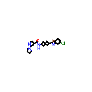 O=C(NC1CC2(C1)CC(c1nc3cc(Cl)ccc3s1)C2)c1ccnc(N2CCCC2)c1